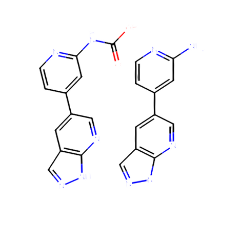 Nc1cc(-c2cnc3[nH]ncc3c2)ccn1.O=C(O)Nc1cc(-c2cnc3[nH]ncc3c2)ccn1